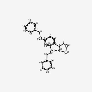 B1OOCC1c1ccc(OCc2ccccc2)nc1OCc1ccccc1